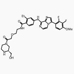 CCc1cc(Nc2nccn3c(-c4ccc(OC)c(F)c4F)cnc23)ccc1C(=O)NCCOCC(=O)N1CCN[C@H](CO)C1